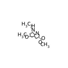 CCCNc1cc(OC)cc2cc(C(=O)OC)cnc12